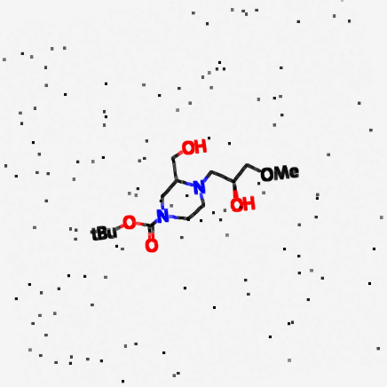 COC[C@@H](O)CN1CCN(C(=O)OC(C)(C)C)CC1CO